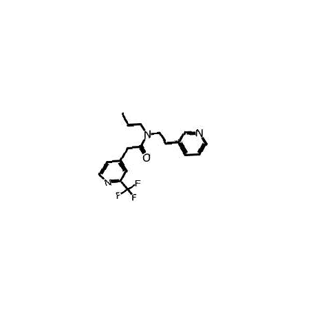 CCCN(CCc1cccnc1)C(=O)Cc1ccnc(C(F)(F)F)c1